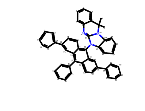 CC1(C)c2ccccc2N=C2N(c3c4ccc(-c5ccccc5)cc4c(-c4ccccc4)c4ccc(-c5ccccc5)cc34)c3ccccc3N21